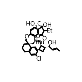 C/C=C/C(O)[C@@H]1CC[C@H]1CN1C[C@@]2(CCCc3cc(Cl)ccc32)COc2ccc(C(O)(C(=O)O)C(CC)C(=O)OC(C)(C)C)cc21